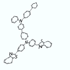 c1ccc(-c2ccc(N(c3ccccc3)c3ccc(-c4ccc(N(c5ccc(-c6nc7ccccc7s6)cc5)c5ccc(-c6nc7ccccc7s6)cc5)cc4)cc3)cc2)cc1